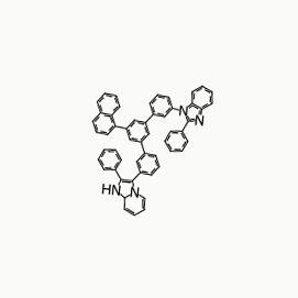 C1=CC2NC(c3ccccc3)=C(c3cccc(-c4cc(-c5cccc(-n6c(-c7ccccc7)nc7ccccc76)c5)cc(-c5cccc6ccccc56)c4)c3)N2C=C1